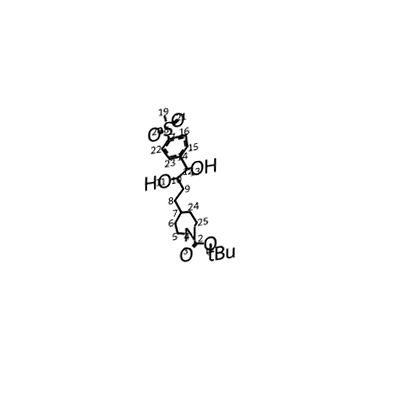 CC(C)(C)OC(=O)N1CCC(CCC(O)C(O)c2ccc(S(C)(=O)=O)cc2)CC1